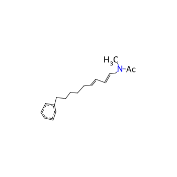 CC(=O)N(C)C/C=C/C=C/CCCCCc1ccccc1